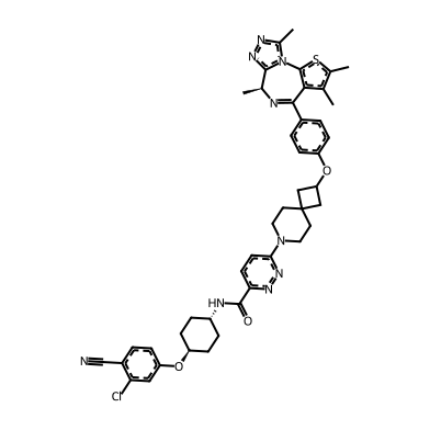 Cc1sc2c(c1C)C(c1ccc(OC3CC4(CCN(c5ccc(C(=O)N[C@H]6CC[C@H](Oc7ccc(C#N)c(Cl)c7)CC6)nn5)CC4)C3)cc1)=N[C@@H](C)c1nnc(C)n1-2